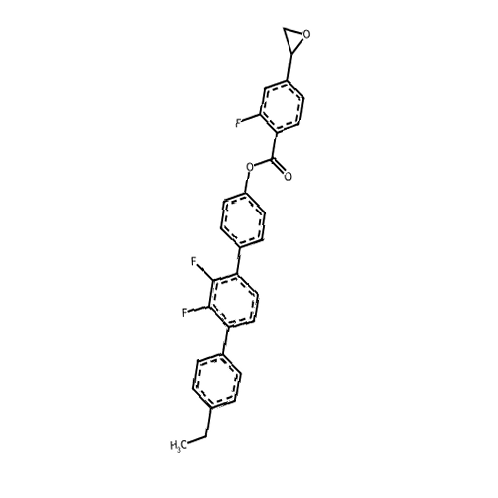 CCc1ccc(-c2ccc(-c3ccc(OC(=O)c4ccc(C5CO5)cc4F)cc3)c(F)c2F)cc1